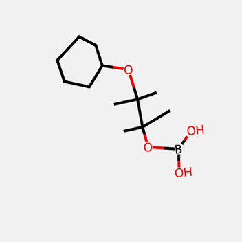 CC(C)(OB(O)O)C(C)(C)OC1CCCCC1